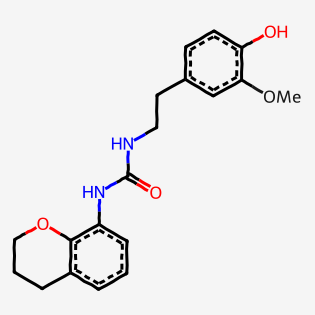 COc1cc(CCNC(=O)Nc2cccc3c2OCCC3)ccc1O